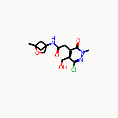 Cn1nc(Cl)c(CO)c(CC(=O)NC23COC(C)(C2)C3)c1=O